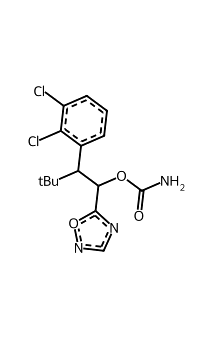 CC(C)(C)C(c1cccc(Cl)c1Cl)C(OC(N)=O)c1ncno1